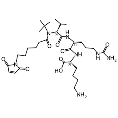 CC(C)[C@@H](C(=O)N[C@@H](CCCNC(N)=O)C(=O)N[C@@H](CCCCN)C(=O)O)N(C(=O)CCCCCN1C(=O)C=CC1=O)C(C)(C)C